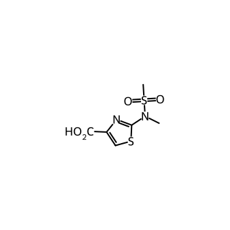 CN(c1nc(C(=O)O)cs1)S(C)(=O)=O